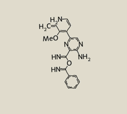 C=C/C(OC)=C(\C=C/N)c1cnc(N)c(C(=N)OC(=N)c2ccccc2)n1